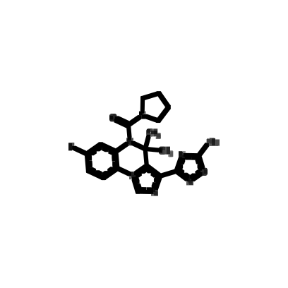 CC(C)(C)c1nc(-c2ncn3c2C(C)(C)N(C(=O)N2CCCC2)c2cc(F)ccc2-3)no1